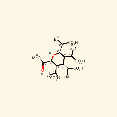 CCC(C(=O)O)[C@@H]1[C@@H](C(CC)C(=O)O)[C@@H](C(=O)OC)O[C@H](C(CC)C(=O)O)[C@H]1C(CC)C(=O)O